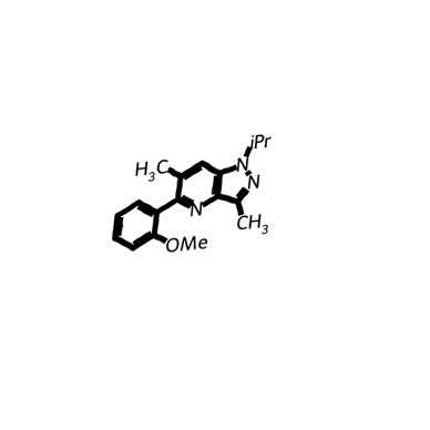 COc1ccccc1-c1nc2c(C)nn(C(C)C)c2cc1C